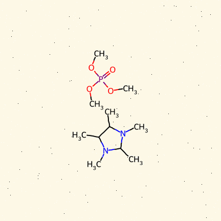 CC1C(C)N(C)C(C)N1C.COP(=O)(OC)OC